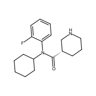 O=C([C@H]1CCCNC1)N(c1ccccc1F)C1CCCCC1